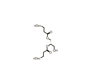 CCCCCCCCCCCCC(=O)OC[C@H](CO)OC(=O)CCCCCCCCCCCC